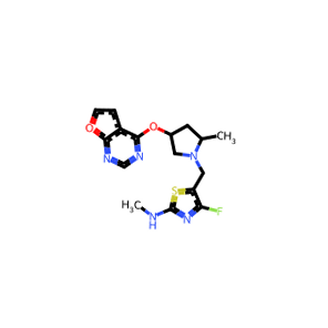 CNc1nc(F)c(CN2CC(Oc3ncnc4occc34)CC2C)s1